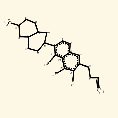 C=CCCc1cc2ccc(C3CCC4CC(C)CCC4C3)c(F)c2c(F)c1F